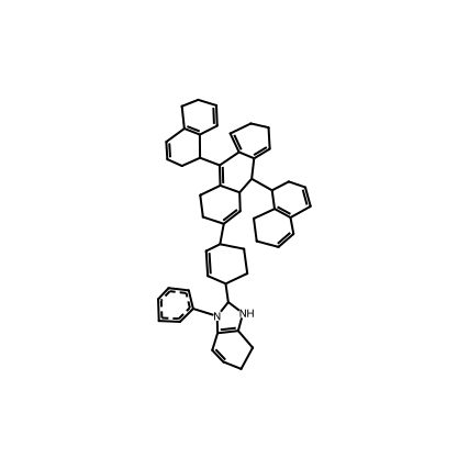 C1=CC2=C(C=CCC2C2=C3CCC(C4C=CC(C5NC6=C(C=CCC6)N5c5ccccc5)CC4)=CC3C(C3CC=CC4=C3CCC=C4)C3=CCCC=C32)CC1